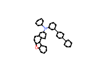 c1ccc(-c2ccc(-c3cccc(N(c4ccccc4)c4ccc5c(ccc6oc7ccccc7c65)c4)c3)cc2)cc1